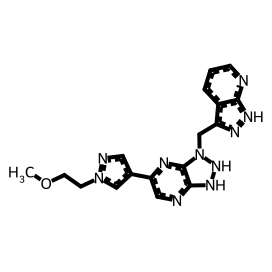 COCCn1cc(-c2cnc3c(n2)N(Cc2n[nH]c4ncccc24)NN3)cn1